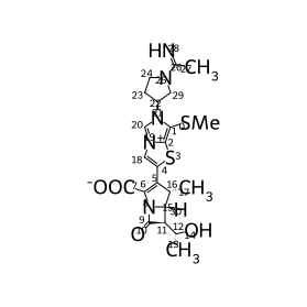 CSc1c2sc(C3=C(C(=O)[O-])N4C(=O)[C@H]([C@@H](C)O)[C@H]4[C@H]3C)c[n+]2cn1[C@H]1CCN(C(C)=N)C1